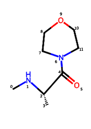 CN[C@@H](C)C(=O)N1CCOCC1